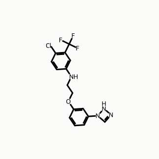 FC(F)(F)c1cc(NCCOc2cccc(-n3cn[nH]3)c2)ccc1Cl